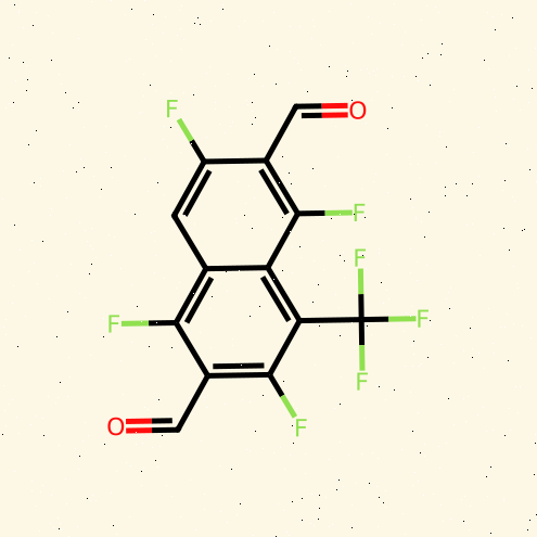 O=Cc1c(F)c(C(F)(F)F)c2c(F)c(C=O)c(F)cc2c1F